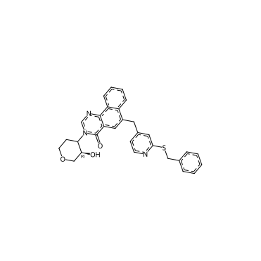 O=c1c2cc(Cc3ccnc(SCc4ccccc4)c3)c3ccccc3c2ncn1C1CCOC[C@@H]1O